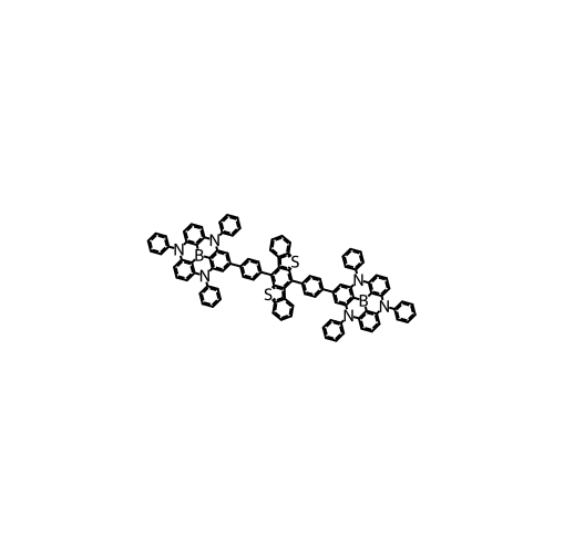 c1ccc(N2c3cccc4c3B3c5c2cccc5N(c2ccccc2)c2cc(-c5ccc(-c6c7sc8ccccc8c7c(-c7ccc(-c8cc9c%10c(c8)N(c8ccccc8)c8cccc%11c8B%10c8c(cccc8N9c8ccccc8)N%11c8ccccc8)cc7)c7sc8ccccc8c67)cc5)cc(c23)N4c2ccccc2)cc1